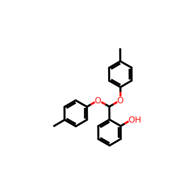 Cc1ccc(OC(Oc2ccc(C)cc2)c2ccccc2O)cc1